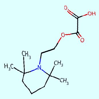 CC1(C)CCCC(C)(C)N1CCOC(=O)C(=O)O